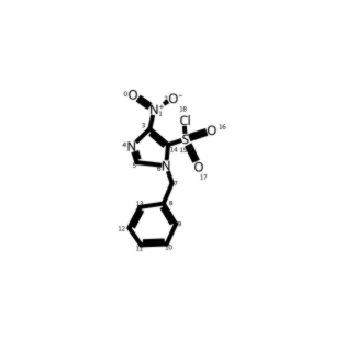 O=[N+]([O-])c1ncn(Cc2ccccc2)c1S(=O)(=O)Cl